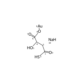 O=C(S)CC(O)C(=O)[O][Au].[NaH]